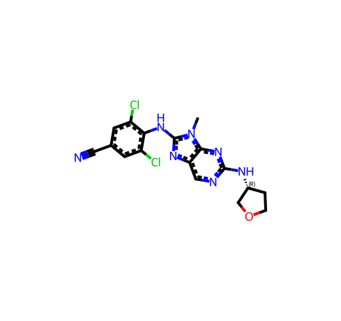 Cn1c(Nc2c(Cl)cc(C#N)cc2Cl)nc2cnc(N[C@@H]3CCOC3)nc21